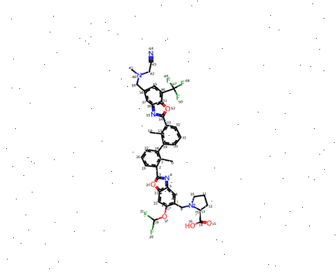 Cc1c(-c2nc3cc(CN4CCC[C@H]4C(=O)O)c(OC(F)F)cc3o2)cccc1-c1cccc(-c2nc3cc(CN(C)CC#N)cc(C(F)(F)F)c3o2)c1C